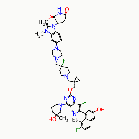 C=C1N(C)c2cc(N3CCN(CC4(F)CCN(CC5(COc6nc(N7CCC[C@@](C)(O)C7)c7cnc(-c8cc(O)cc9ccc(F)c(CC)c89)c(F)c7n6)CC5)CC4)CC3)ccc2N1C1CCC(=O)NC1=O